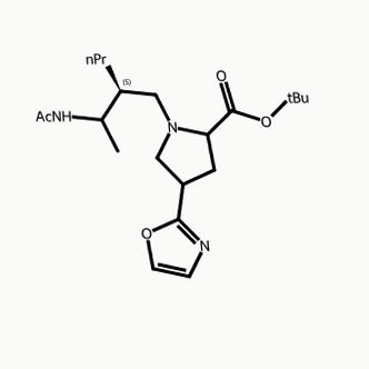 CCC[C@@H](CN1CC(c2ncco2)CC1C(=O)OC(C)(C)C)C(C)NC(C)=O